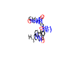 CC(=O)N1CCCN(c2nc(-c3ccc(NC(=O)Nc4ccc(C(=O)N5CCC(N(C)C)C5)cc4)cc3)nc(N3CCOCC3)n2)CC1